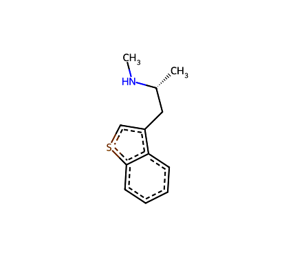 CN[C@H](C)Cc1csc2ccccc12